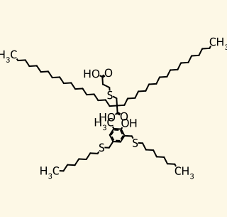 CCCCCCCCCCCCCCCCCCC(CCCCCCCCCCCCCCCCCC)(CSCCC(=O)O)C(=O)O.CCCCCCCCSCc1cc(C)c(O)c(CSCCCCCCCC)c1